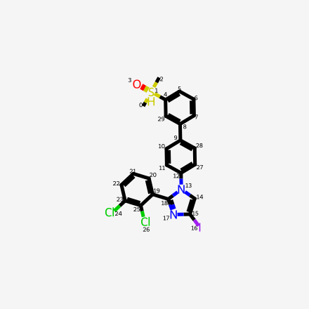 C[SH](C)(=O)c1cccc(-c2ccc(-n3cc(I)nc3-c3cccc(Cl)c3Cl)cc2)c1